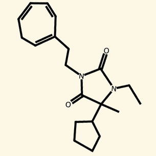 CCN1C(=O)N(CCC2=CCC=CC=C2)C(=O)C1(C)C1CCCC1